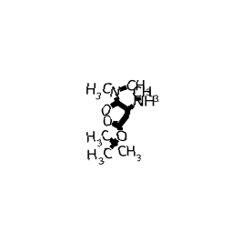 CNC(CC(=O)OC(C)(C)C)C(=O)N(C)C